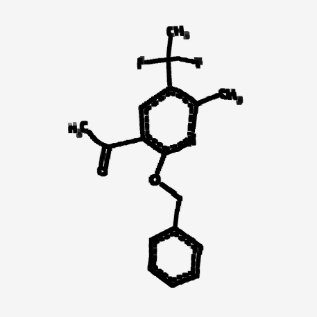 CC(=O)c1cc(C(C)(F)F)c(C)nc1OCc1ccccc1